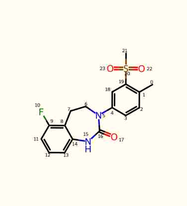 Cc1ccc(N2CCc3c(F)cccc3NC2=O)cc1S(C)(=O)=O